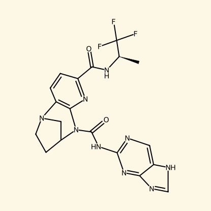 C[C@@H](NC(=O)c1ccc2c(n1)N(C(=O)Nc1ncc3[nH]cnc3n1)C1CCN2C1)C(F)(F)F